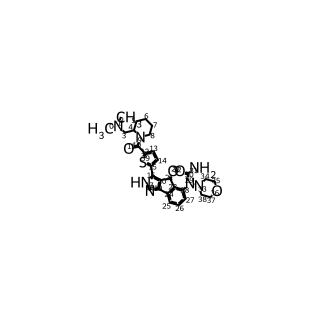 CN(C)CC1CCCCN1C(=O)c1ccc(-c2[nH]nc3c2C(=O)c2c-3cccc2N(C(N)=O)N2CCOCC2)s1